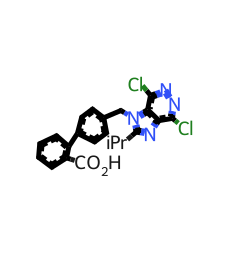 CC(C)c1nc2c(Cl)nnc(Cl)c2n1Cc1ccc(-c2ccccc2C(=O)O)cc1